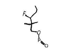 CCC(F)C(C)(C)COP=O